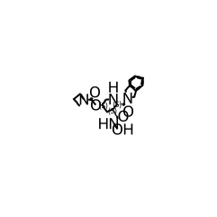 O=C(NO)[C@H]1C[C@H](OC(=O)N2CCC2)CN[C@@H]1C(=O)N1Cc2ccccc2C1